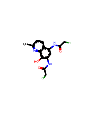 Cc1ccc2c(NC(=O)CCl)cc(NC(=O)CCl)c(O)c2n1